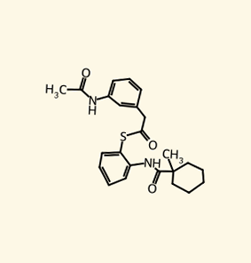 CC(=O)Nc1cccc(CC(=O)Sc2ccccc2NC(=O)C2(C)CCCCC2)c1